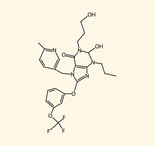 CCCN1c2nc(Oc3cccc(OC(F)(F)F)c3)n(Cc3ccc(C)nc3)c2C(=O)N(CCCO)C1O